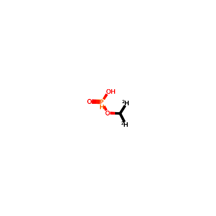 [2H]C([2H])O[PH](=O)O